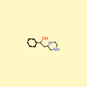 OC(CC1CNCC[N]1)c1ccccc1